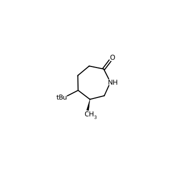 C[C@@H]1CNC(=O)CCC1C(C)(C)C